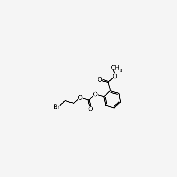 COC(=O)c1ccccc1OC(=O)OCCBr